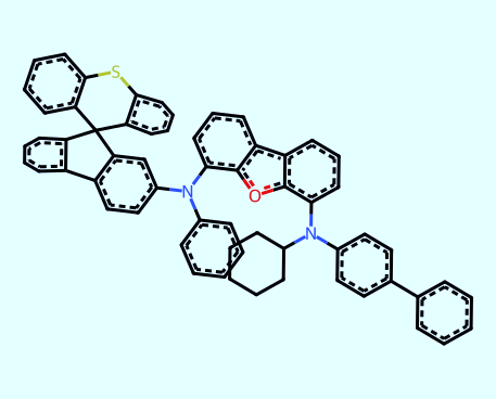 c1ccc(-c2ccc(N(c3cccc4c3oc3c(N(c5ccccc5)c5ccc6c(c5)C5(c7ccccc7Sc7ccccc75)c5ccccc5-6)cccc34)C3CCCCC3)cc2)cc1